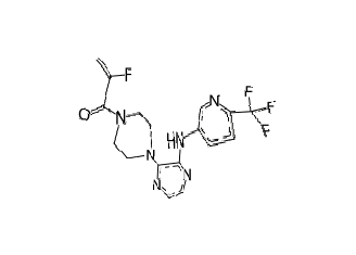 C=C(F)C(=O)N1CCN(c2nccnc2Nc2ccc(C(F)(F)F)nc2)CC1